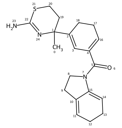 CC1(C2=CC(C(=O)N3CCC4=CCCC=C43)=CCC2)CCSC(N)=N1